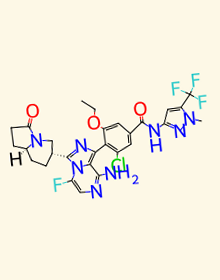 CCOc1cc(C(=O)Nc2cc(C(F)(F)F)n(C)n2)cc(Cl)c1-c1nc([C@@H]2CC[C@H]3CCC(=O)N3C2)n2c(F)cnc(N)c12